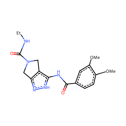 CCNC(=O)N1Cc2n[nH]c(NC(=O)c3ccc(OC)c(OC)c3)c2C1